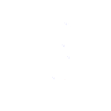 NC1CCN(c2ccc(C(=O)N3CCCCC3)cn2)CC1